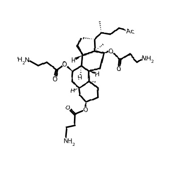 CC(=O)CC[C@@H](C)[C@H]1CC[C@H]2[C@@H]3[C@H](OC(=O)CCN)C[C@@H]4C[C@H](OC(=O)CCN)CC[C@]4(C)[C@H]3C[C@H](OC(=O)CCN)[C@]12C